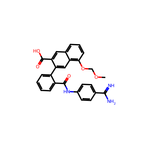 COCOc1cccc2cc(C(=O)O)c(-c3ccccc3C(=O)Nc3ccc(C(=N)N)cc3)cc12